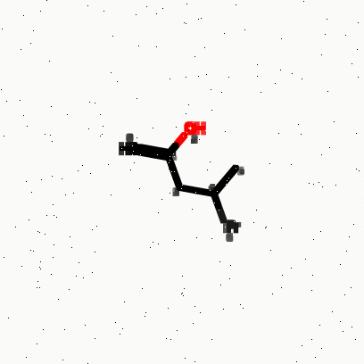 B=C(O)CC(C)C(C)C